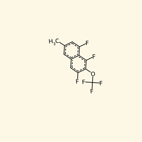 Cc1cc(F)c2c(F)c(OC(F)(F)F)c(F)cc2c1